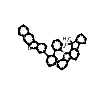 CC1(C)c2ccccc2-c2ccc3c4ccccc4n(-c4ccccc4-c4ccccc4-c4ccc5c(c4)oc4cc6ccccc6cc45)c3c21